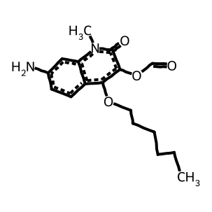 CCCCCCOc1c(OC=O)c(=O)n(C)c2cc(N)ccc12